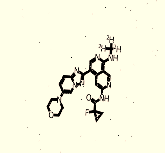 [2H]C([2H])([2H])Nc1ncc(-c2nc3ccc(N4CCOCC4)cn3n2)c2cc(NC(=O)C3(F)CC3)ncc12